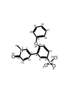 Cn1cc(-c2cc(S(=O)(=O)Cl)ccc2Oc2ccccc2)ccc1=O